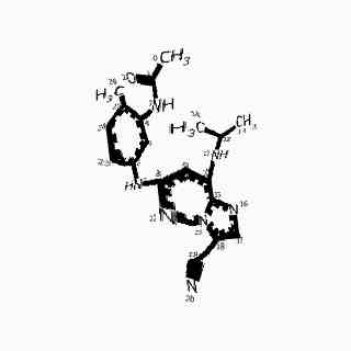 CC(=O)Nc1cc(Nc2cc(NC(C)C)c3ncc(C#N)n3n2)ccc1C